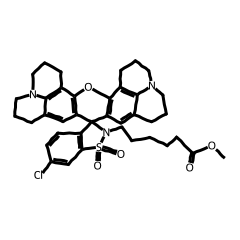 COC(=O)CCCCCN1C2(c3ccc(Cl)cc3S1(=O)=O)c1cc3c4c(c1Oc1c2cc2c5c1CCCN5CCC2)CCCN4CCC3